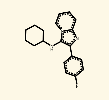 Fc1ccc(-c2nc3ccccn3c2NC2CCCCC2)cc1